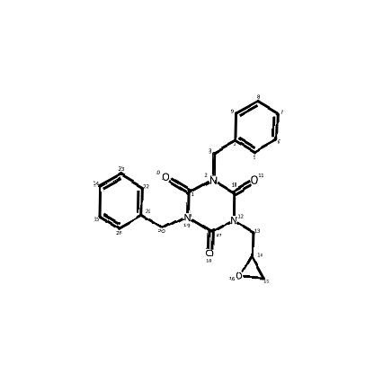 O=c1n(Cc2ccccc2)c(=O)n(CC2CO2)c(=O)n1Cc1ccccc1